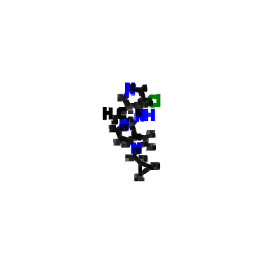 Cc1cncc(Cl)c1Nc1nccc2c1ccn2CC1CC1